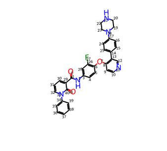 O=C(Nc1ccc(Oc2ccncc2-c2ccc(N3CCNCC3)cc2)c(F)c1)c1cccn(-c2ccccc2)c1=O